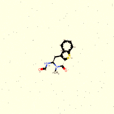 CN(C=O)[C@H](Cc1csc2ccccc12)NC=O